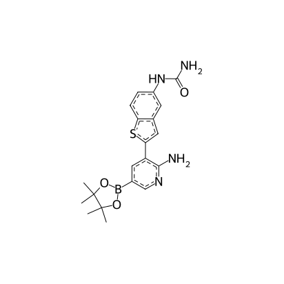 CC1(C)OB(c2cnc(N)c(-c3cc4cc(NC(N)=O)ccc4s3)c2)OC1(C)C